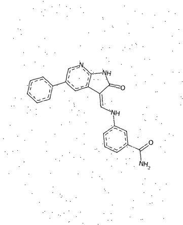 NC(=O)c1cccc(NC=C2C(=O)Nc3ncc(-c4ccccc4)cc32)c1